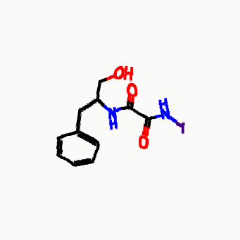 O=C(NI)C(=O)NC(CO)Cc1ccccc1